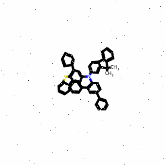 CC1(C)c2ccccc2-c2ccc(N(c3cc(-c4ccccc4)c4sc5ccccc5c4c3)c3ccc(-c4ccccc4)cc3-c3ccccc3)cc21